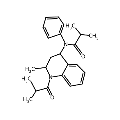 CC(C)C(=O)N1c2ccccc2C(N(C(=O)C(C)C)c2ccccc2)CC1C